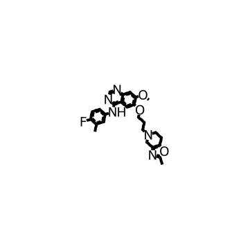 COc1cc2ncnc(Nc3ccc(F)c(C)c3)c2cc1OCCCN1CCc2oc(C)nc2C1